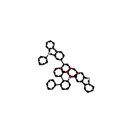 c1ccc(-c2ccccc2-c2c(-c3ccccc3)cccc2N(c2ccc(-c3ccc4c5ccccc5n(-c5ccccc5)c4c3)cc2)c2ccc3sc4ccccc4c3c2)cc1